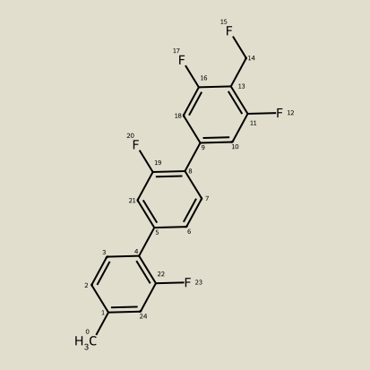 Cc1ccc(-c2ccc(-c3cc(F)c(CF)c(F)c3)c(F)c2)c(F)c1